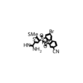 CSc1sc(C(=N)N)cc1S(=O)(=NS(=O)(=O)c1cccc(C#N)c1)c1cccc(Br)c1